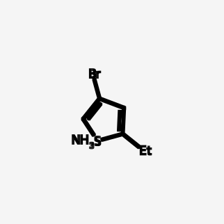 CCc1cc(Br)cs1.N